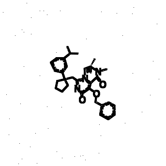 CC(C)c1cccc(C2(Cc3nc(=O)c(OCc4ccccc4)c4n3C[C@H](C)N(C)C4=O)CCCC2)c1